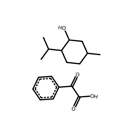 CC1CCC(C(C)C)C(O)C1.O=C(O)C(=O)c1ccccc1